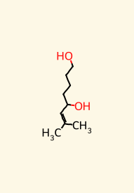 CC(C)=CC(O)CCCCO